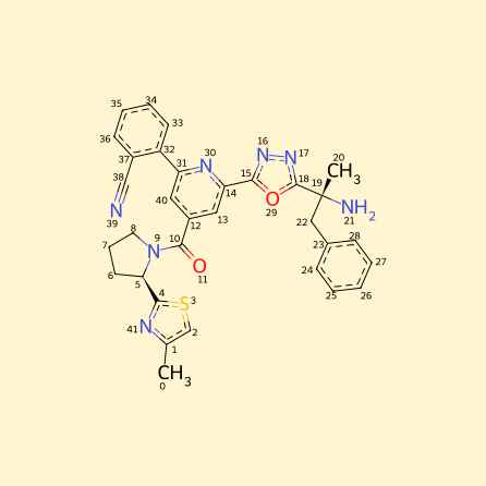 Cc1csc([C@H]2CCCN2C(=O)c2cc(-c3nnc([C@](C)(N)Cc4ccccc4)o3)nc(-c3ccccc3C#N)c2)n1